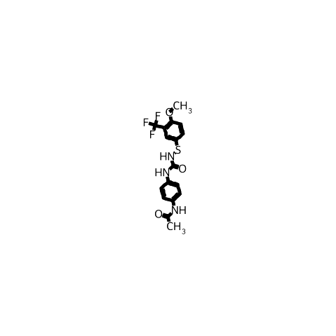 COc1ccc(SNC(=O)Nc2ccc(NC(C)=O)cc2)cc1C(F)(F)F